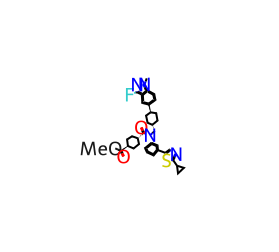 COC(=O)[C@H]1CC[C@H](C(=O)N(C[C@H]2CC[C@H](c3ccc4c(c3)c(F)nn4C)CC2)c2cccc(-c3cnc(C4CC4)s3)c2)CC1